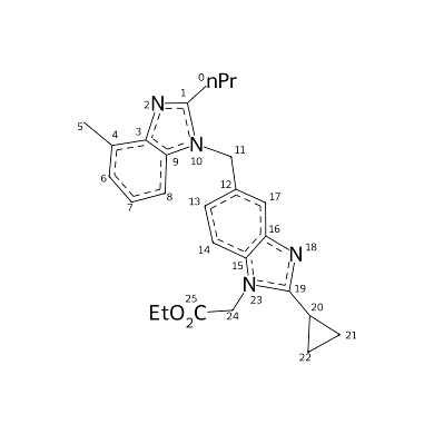 CCCc1nc2c(C)cccc2n1Cc1ccc2c(c1)nc(C1CC1)n2CC(=O)OCC